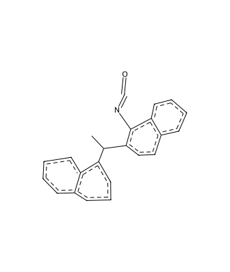 CC(c1ccc2ccccc2c1N=C=O)c1cccc2ccccc12